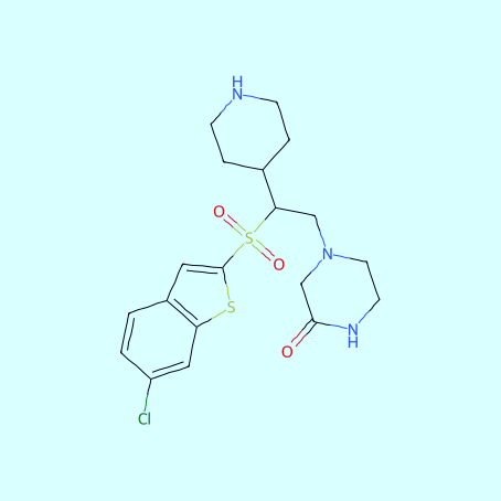 O=C1CN(CC(C2CCNCC2)S(=O)(=O)c2cc3ccc(Cl)cc3s2)CCN1